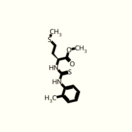 COC(=O)[C@H](CCSC)NC(=S)Nc1ccccc1C